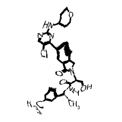 Cc1cccc([C@@H](C)NC(=O)C(CO)N2Cc3ccc(-c4nc(NC5CCOCC5)ncc4Cl)cc3C2=O)c1